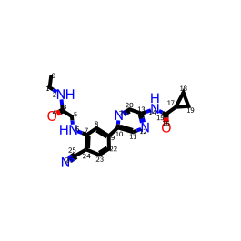 CCNC(=O)CNc1cc(-c2cnc(NC(=O)C3CC3)cn2)ccc1C#N